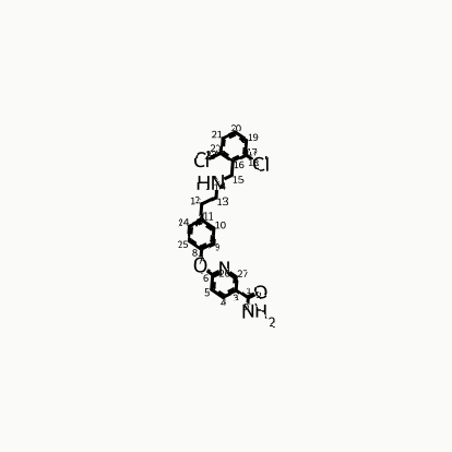 NC(=O)c1ccc(Oc2ccc(CCNCc3c(Cl)cccc3Cl)cc2)nc1